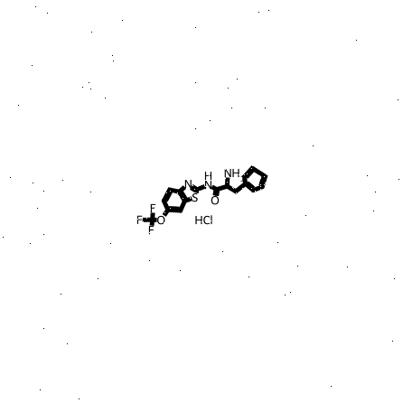 Cl.NC(Cc1ccccc1)C(=O)Nc1nc2ccc(OC(F)(F)F)cc2s1